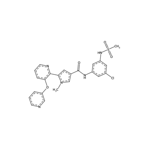 Cn1cc(C(=O)Nc2cc(Cl)cc(NS(C)(=O)=O)c2)cc1-c1ncccc1Oc1cccnc1